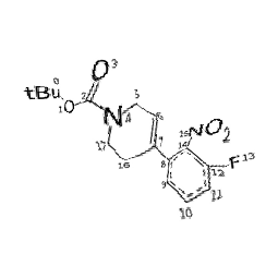 CC(C)(C)OC(=O)N1CC=C(c2cccc(F)c2[N+](=O)[O-])CC1